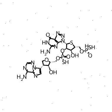 Nc1nc2c(nnn2[C@@H]2S[C@H](CO[PH](=O)S)[C@@H](O)[C@H]2OP(=O)(S)OC[C@H]2OC[C@@H](c3cnc4c(N)ncnn34)[C@@H]2O)c(=O)[nH]1